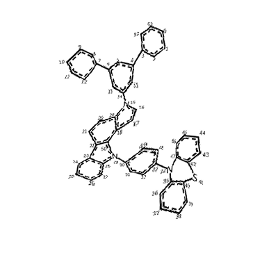 c1ccc(-c2cc(-c3ccccc3)cc(-n3ccc4c3ccc3c5ccccc5n(-c5ccc(N6c7ccccc7Sc7ccccc76)cc5)c34)c2)cc1